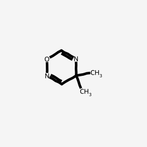 CC1(C)C=NOC=N1